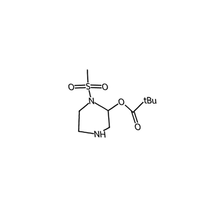 CC(C)(C)C(=O)OC1CNCCN1S(C)(=O)=O